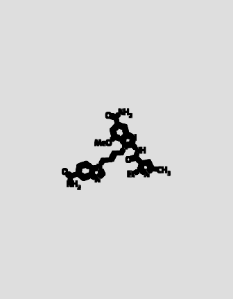 CCn1nc(C)cc1C(=O)Nc1nc2cc(C(N)=O)cc(OC)c2n1CC=CCn1cnc2cc(C(N)=O)ccc21